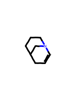 [C]1=CCC2CCCN1C2